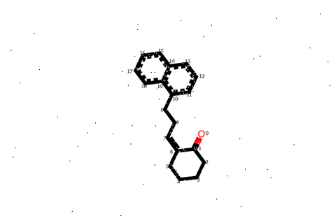 O=C1CCCC/C1=C/CCc1cccc2ccccc12